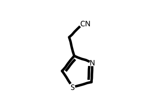 N#CCc1cscn1